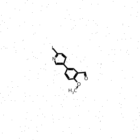 COc1ccc(-c2ccc(I)nc2)cc1C=O